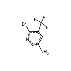 Nc1cnc(Br)c(C(F)(F)F)c1